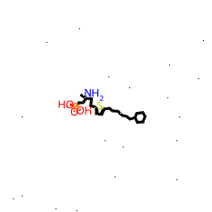 CC(N)(CCc1ccc(CCCCCCC2CCCCC2)s1)CCP(=O)(O)O